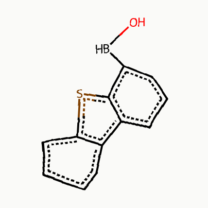 OBc1cccc2c1sc1ccccc12